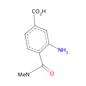 CNC(=O)c1ccc(C(=O)O)cc1N